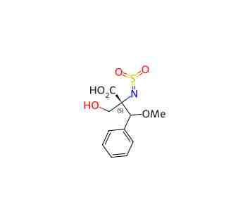 COC(c1ccccc1)[C@](CO)(N=S(=O)=O)C(=O)O